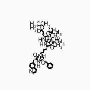 CC(C)(C)OC(=O)CC[C@H](NC(=O)N[C@@H](CCCCNC(=O)[C@H](Cc1ccc2ncccc2c1)NC(=O)OCc1ccccc1)C(=O)OC(C)(C)C)C(=O)OC(C)(C)C